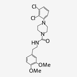 COc1ccc(CCNC(=O)N2CCN(c3cccc(Cl)c3Cl)CC2)cc1OC